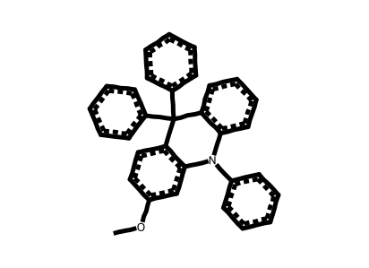 COc1ccc2c(c1)N(c1ccccc1)c1ccccc1C2(c1ccccc1)c1ccccc1